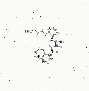 CCCCCC(C)C(=O)OC1NCC12CN(c1ccnc3c1CCCN3)C2